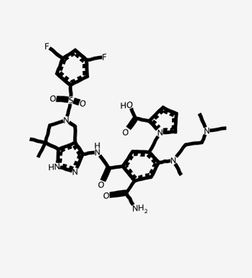 CN(C)CCN(C)c1cc(C(N)=O)c(C(=O)Nc2n[nH]c3c2CN(S(=O)(=O)c2cc(F)cc(F)c2)CC3(C)C)cc1-n1cccc1C(=O)O